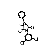 CC12C(=O)N(c3cc(Cl)cc(Cl)c3)C(=O)C1C2c1ccccc1